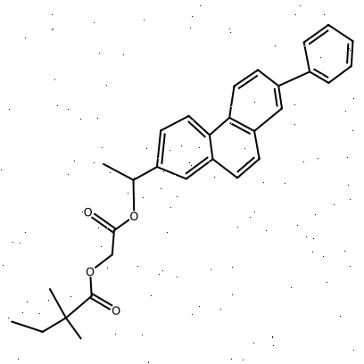 CCC(C)(C)C(=O)OCC(=O)OC(C)c1ccc2c(ccc3cc(-c4ccccc4)ccc32)c1